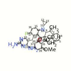 C=C(c1ccccc1OC)C1N(C2CC2)c2ccc(F)c(Cc3cnc(N)nc3N)c2C(=O)C1(C(=C)c1ccccc1OC)C(=O)O